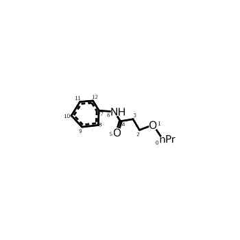 CCCOCCC(=O)Nc1ccccc1